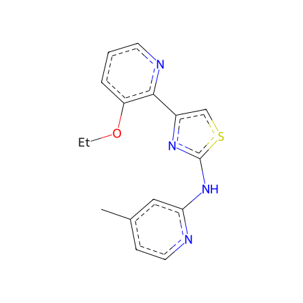 CCOc1cccnc1-c1csc(Nc2cc(C)ccn2)n1